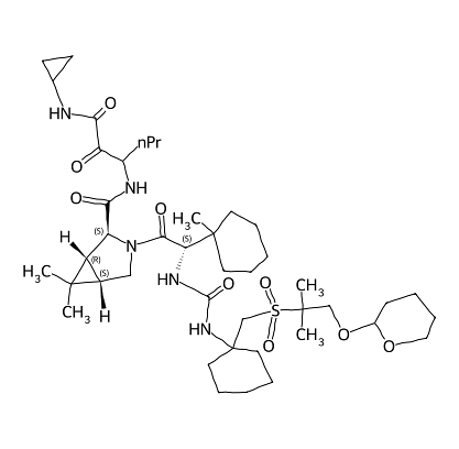 CCCC(NC(=O)[C@@H]1[C@@H]2[C@H](CN1C(=O)[C@@H](NC(=O)NC1(CS(=O)(=O)C(C)(C)COC3CCCCO3)CCCCC1)C1(C)CCCCC1)C2(C)C)C(=O)C(=O)NC1CC1